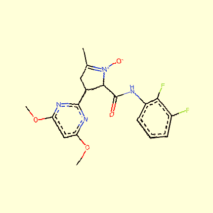 COc1cc(OC)nc(C2CC(C)=[N+]([O-])C2C(=O)Nc2cccc(F)c2F)n1